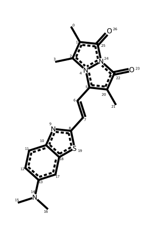 Cc1c(C)n2c(/C=C/c3nc4ccc(N(C)C)cc4s3)c(C)c(=O)n2c1=O